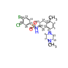 Cc1ccc(N2CCN(C)CC2)c2c1CC[C@@H](NS(=O)(=O)c1ccc(F)c(Cl)c1)C2